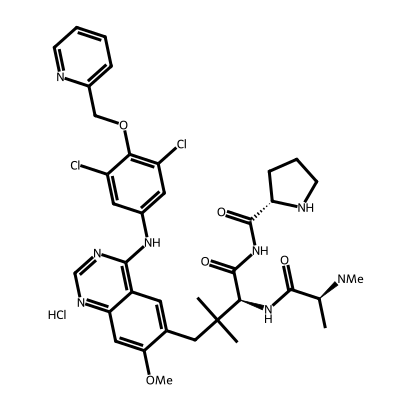 CN[C@@H](C)C(=O)N[C@H](C(=O)NC(=O)[C@@H]1CCCN1)C(C)(C)Cc1cc2c(Nc3cc(Cl)c(OCc4ccccn4)c(Cl)c3)ncnc2cc1OC.Cl